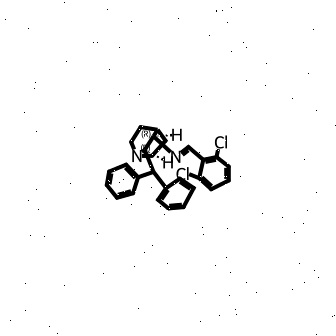 Clc1cccc(Cl)c1C=N[C@@H]1C2CCN(CC2)[C@@H]1C(c1ccccc1)c1ccccc1